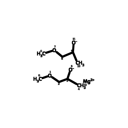 COCC(C)[O-].COCC(C)[O-].[Mg+2]